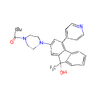 CC(C)(C)C(=O)N1CCN(c2cc(-c3ccncc3)c3c(c2)C(O)(C(F)(F)F)c2ccccc2-3)CC1